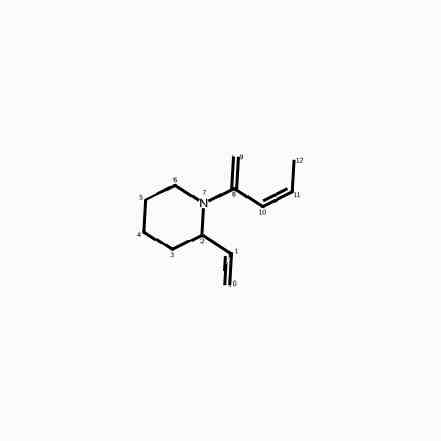 C=CC1CCCCN1C(=C)/C=C\C